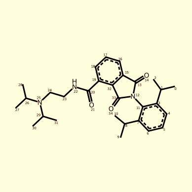 CC(C)c1cccc(C(C)C)c1N1C(=O)c2cccc(C(=O)NCCN(C(C)C)C(C)C)c2C1=O